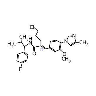 COc1cc(/C=C(\CCCCl)C(=O)NC(c2ccc(F)cc2)C(C)C)ccc1-n1cnc(C)c1